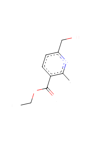 CCOC(=O)c1ccc(CO)nc1C